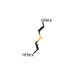 CCCCCC/C=C/[P]/C=C/CCCCCC